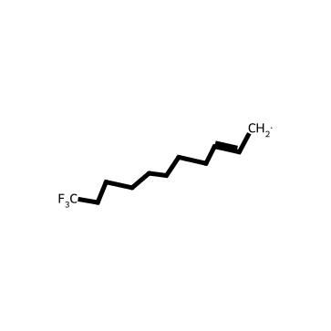 [CH2]/C=C/CCCCCCCC(F)(F)F